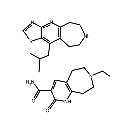 CC(C)Cc1c2c(nc3ncsc13)CCNCC2.CCN1CCc2cc(C(N)=O)c(=O)[nH]c2CC1